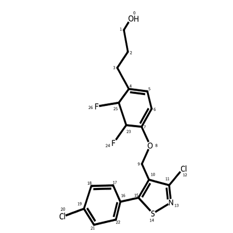 OCCCC1=CC=C(OCc2c(Cl)nsc2-c2ccc(Cl)cc2)C(F)C1F